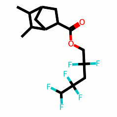 CC1C2CC(C(=O)OCC(F)(F)CC(F)(F)C(F)F)C(C2)C1C